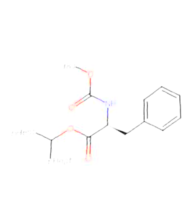 CCCCCCCC(CCCCCCC)OC(=O)[C@H](Cc1ccccc1)NC(=O)OC(C)(C)C